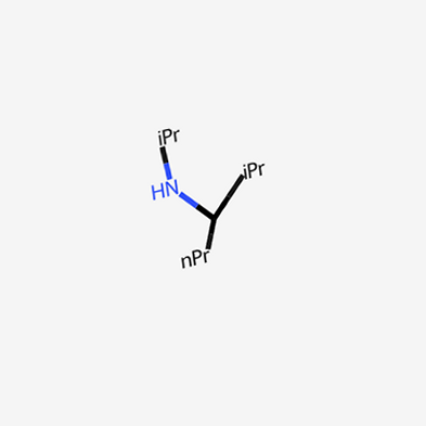 CCCC(NC(C)C)C(C)C